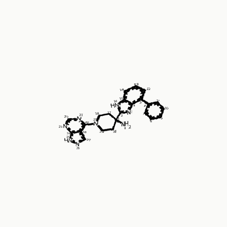 NC1(c2nc3c(-c4ccccc4)cccc3[nH]2)CCN(c2ncnc3[nH]ncc23)CC1